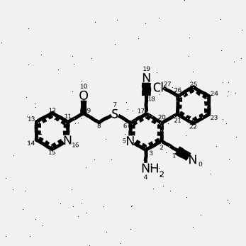 N#Cc1c(N)nc(SCC(=O)c2ccccn2)c(C#N)c1-c1ccccc1Cl